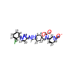 O=C1O[C@]2(CC[C@H](CNc3ccn(-c4ccccc4F)n3)CC2)CN1c1ccc[n+]([O-])c1